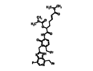 CC(C)Cc1ncc(F)c2nc(Cn3c(CC(C)C)ccc(NC(=O)C(CCC=CC(=O)N(C)C)OC(=O)N(C)C)c3=O)[nH]c12